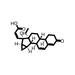 CC[C@]12CC[C@H]3[C@@H](C=CC4=CC(=O)CC[C@@H]43)[C@@H]1[C@H]1C[C@H]1[C@@]2(O)/C=C\C(=O)O